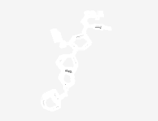 CC#CC(CC(=O)O)c1ccc(-c2ccc3c(c2)CN(Cc2ccccc2)C3)c(OCC)c1